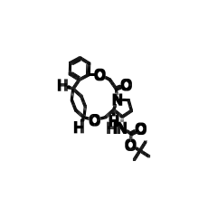 CC(C)(C)OC(=O)N[C@H]1CCN2C(=O)COc3ccccc3[C@H]3CC[C@H](CC3)OC[C@@H]12